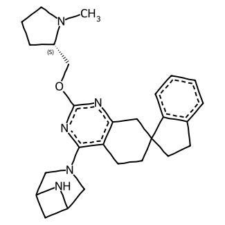 CN1CCC[C@H]1COc1nc2c(c(N3CC4CC(C3)N4)n1)CCC1(CCc3ccccc31)C2